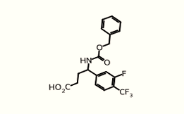 O=C(O)CCC(NC(=O)OCc1ccccc1)c1ccc(C(F)(F)F)c(F)c1